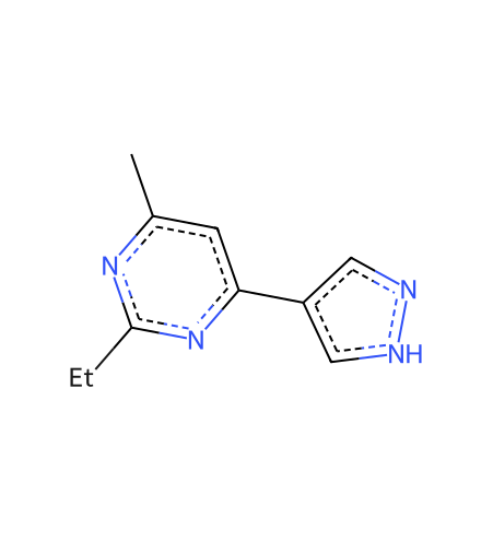 CCc1nc(C)cc(-c2cn[nH]c2)n1